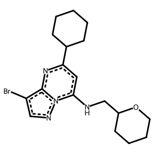 Brc1cnn2c(NCC3CCCCO3)cc(C3CCCCC3)nc12